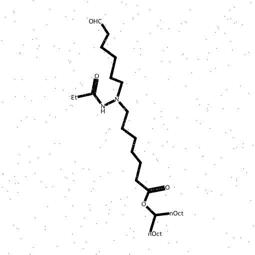 CCCCCCCCC(CCCCCCCC)OC(=O)CCCCCCN(CCCCCC=O)NC(=O)CC